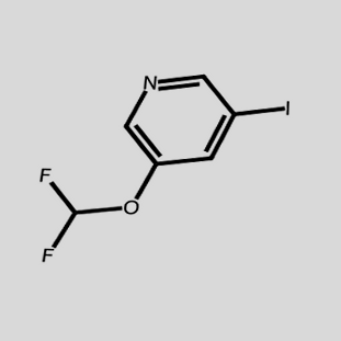 FC(F)Oc1cncc(I)c1